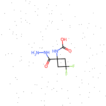 NNC(=O)C1(NC(=O)O)CC(F)(F)C1